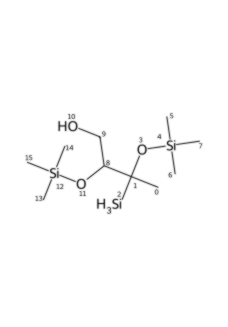 CC([SiH3])(O[Si](C)(C)C)C(CO)O[Si](C)(C)C